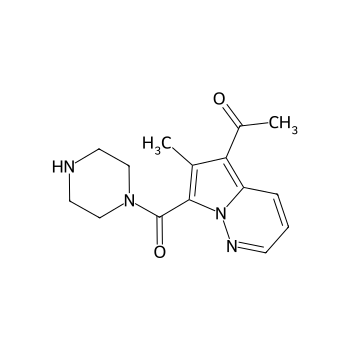 CC(=O)c1c(C)c(C(=O)N2CCNCC2)n2ncccc12